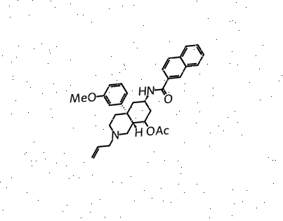 C=CCN1CC[C@@]2(c3cccc(OC)c3)C[C@@H](NC(=O)c3ccc4ccccc4c3)CC(OC(C)=O)[C@@H]2C1